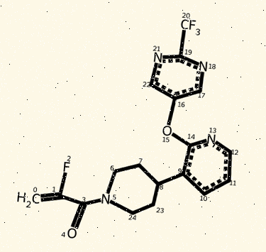 C=C(F)C(=O)N1CCC(c2cccnc2Oc2cnc(C(F)(F)F)nc2)CC1